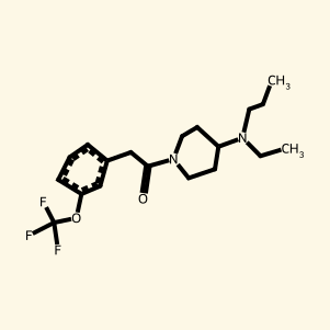 CCCN(CC)C1CCN(C(=O)Cc2cccc(OC(F)(F)F)c2)CC1